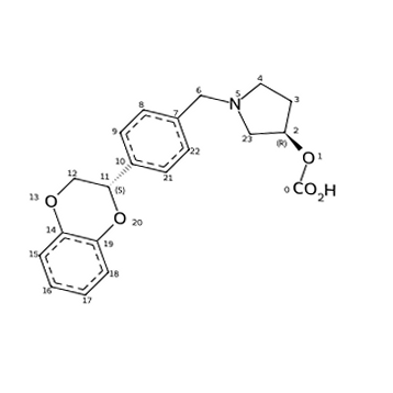 O=C(O)O[C@@H]1CCN(Cc2ccc([C@H]3COc4ccccc4O3)cc2)C1